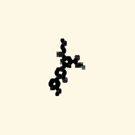 COCCNc1cc(C(N)=O)nc(N2CCN(c3ccnc(OC)c3)C(=O)C2)n1